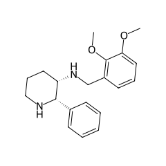 COc1cccc(CN[C@H]2CCCN[C@H]2c2ccccc2)c1OC